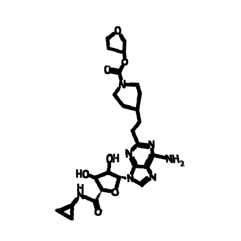 Nc1nc(CCC2CCN(C(=O)OC3CCOC3)CC2)nc2c1ncn2[C@@H]1O[C@H](C(=O)NC2CC2)C(O)C1O